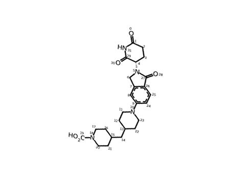 O=C1CC[C@H](N2Cc3cc(N4CCC(CC5CCN(C(=O)O)CC5)CC4)ccc3C2=O)C(=O)N1